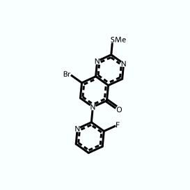 CSc1ncc2c(=O)n(-c3ncccc3F)cc(Br)c2n1